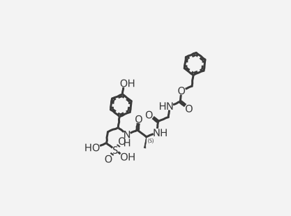 C[C@H](NC(=O)CNC(=O)OCc1ccccc1)C(=O)NC(CC(O)S(=O)(=O)O)c1ccc(O)cc1